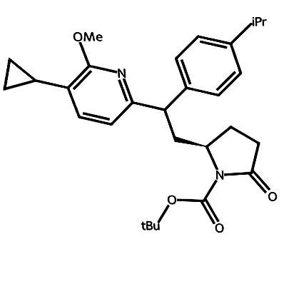 COc1nc(C(C[C@H]2CCC(=O)N2C(=O)OC(C)(C)C)c2ccc(C(C)C)cc2)ccc1C1CC1